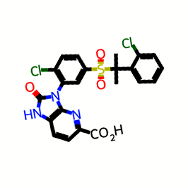 CC(C)(c1ccccc1Cl)S(=O)(=O)c1ccc(Cl)c(-n2c(=O)[nH]c3ccc(C(=O)O)nc32)c1